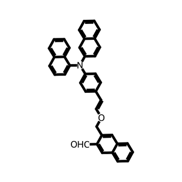 O=Cc1cc2ccccc2cc1COC=Cc1ccc(N(c2ccc3ccccc3c2)c2cccc3ccccc23)cc1